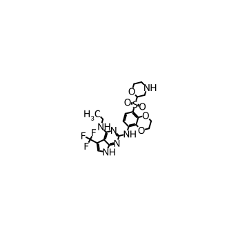 CCNc1nc(Nc2ccc(S(=O)(=O)C3CNCCO3)c3c2OCCO3)nc2[nH]cc(C(F)(F)F)c12